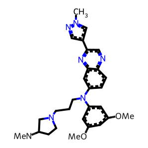 CNC1CCN(CCCN(c2cc(OC)cc(OC)c2)c2ccc3ncc(-c4cnn(C)c4)nc3c2)C1